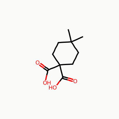 CC1(C)CCC(C(=O)O)(C(=O)O)CC1